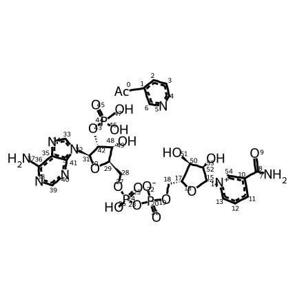 CC(=O)c1cccnc1.NC(=O)c1ccc[n+]([C@@H]2O[C@H](COP(=O)([O-])OP(=O)(O)OC[C@H]3O[C@@H](n4cnc5c(N)ncnc54)[C@H](OP(=O)(O)O)[C@@H]3O)[C@@H](O)[C@H]2O)c1